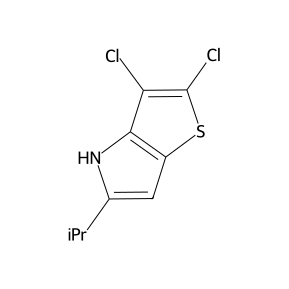 CC(C)c1cc2sc(Cl)c(Cl)c2[nH]1